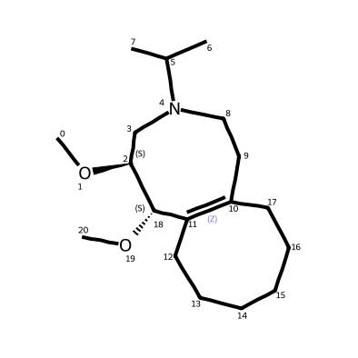 CO[C@H]1CN(C(C)C)CC/C2=C(/CCCCCC2)[C@@H]1OC